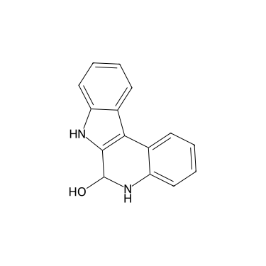 OC1Nc2ccccc2-c2c1[nH]c1ccccc21